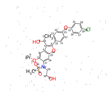 CC(C)Oc1cc2c(C(C)O)c(-c3ccc(Oc4ccc(Cl)cc4)cc3)oc2cc1N(CCO)S(C)(=O)=O